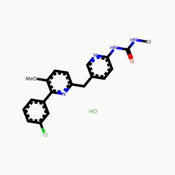 CCNC(=O)Nc1ccc(Cc2ccc(OC)c(-c3cccc(Cl)c3)n2)cn1.Cl